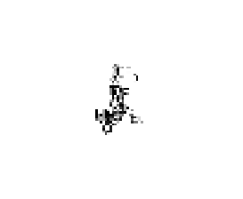 CC[C@H]1CC(C)(C)N(c2nc(-n3nc(OCCC4(C(F)(F)F)CC4)cc3F)ccc2C(=O)NS(=O)(=O)c2ccccc2)CC1C